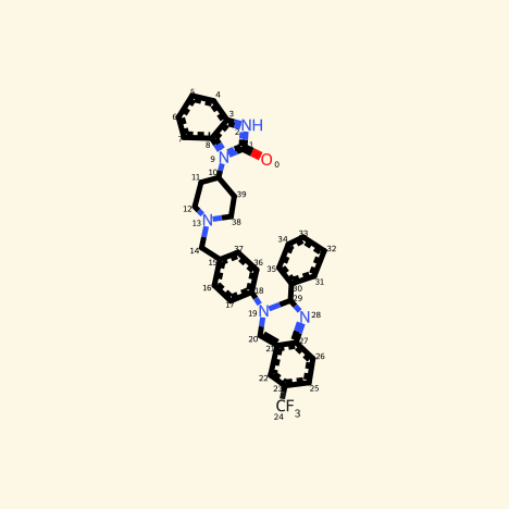 O=c1[nH]c2ccccc2n1C1CCN(Cc2ccc(N3C=c4cc(C(F)(F)F)ccc4=NC3c3ccccc3)cc2)CC1